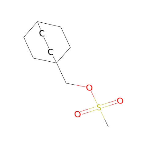 CS(=O)(=O)OCC12CCC(CC1)CC2